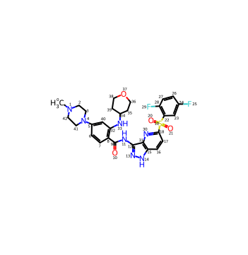 CN1CCN(c2ccc(C(=O)Nc3n[nH]c4ccc(S(=O)(=O)c5cc(F)ccc5F)nc34)c(NC3CCOCC3)c2)CC1